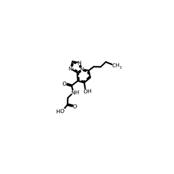 CCCCc1cc(O)c(C(=O)NCC(=O)O)c2ncnn12